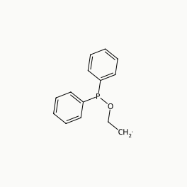 [CH2]COP(c1ccccc1)c1ccccc1